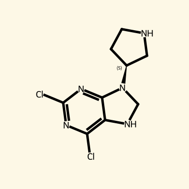 Clc1nc(Cl)c2c(n1)N([C@H]1CCNC1)CN2